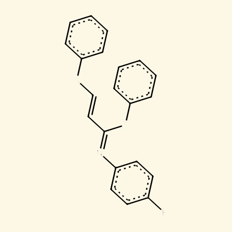 Fc1ccc(N=C(C=CSc2ccccc2)Sc2ccccc2)cc1